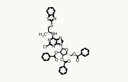 C[C@H](CSc1nc2ccccc2s1)Nc1nc(Cl)nc2c1ncn2[C@@H]1O[C@H](COC(=O)c2ccccc2)[C@@H](OC(=O)c2ccccc2)[C@H]1OC(=O)c1ccccc1